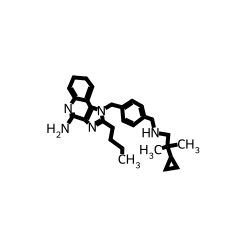 CCCCc1nc2c(N)nc3c(c2n1Cc1ccc(CNCC(C)(C)C2CC2)cc1)=CCCC=3